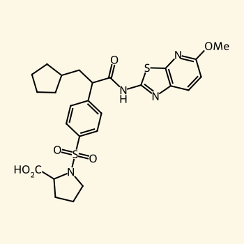 COc1ccc2nc(NC(=O)C(CC3CCCC3)c3ccc(S(=O)(=O)N4CCCC4C(=O)O)cc3)sc2n1